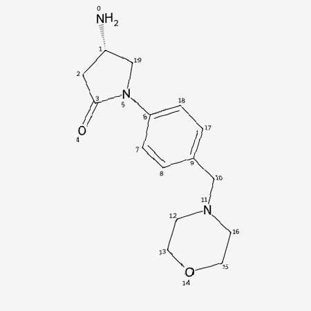 N[C@H]1CC(=O)N(c2ccc(CN3CCOCC3)cc2)C1